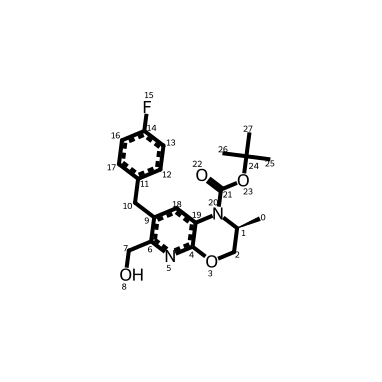 C[C@H]1COc2nc(CO)c(Cc3ccc(F)cc3)cc2N1C(=O)OC(C)(C)C